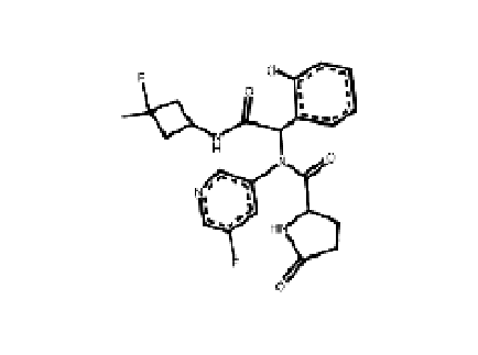 CC1(F)CC(NC(=O)C(c2ccccc2Cl)N(C(=O)C2CCC(=O)N2)c2cncc(F)c2)C1